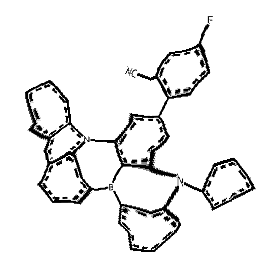 N#Cc1cc(F)ccc1-c1cc2c3c(c1)-n1c4ccccc4c4cccc(c41)B3c1ccccc1N2c1ccccc1